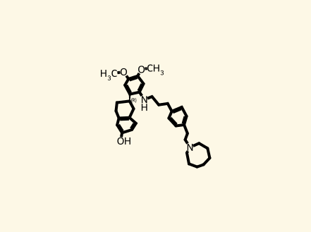 COc1cc(NCCCc2ccc(CCN3CCCCCCC3)cc2)c([C@@H]2CCc3cc(O)ccc3C2)cc1OC